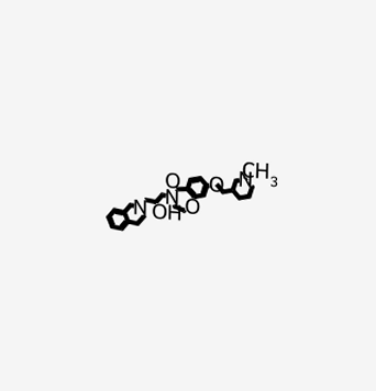 CN1CCCC(COc2ccc3c(c2)OCCN(CC(O)CN2CCc4ccccc4C2)C3=O)C1